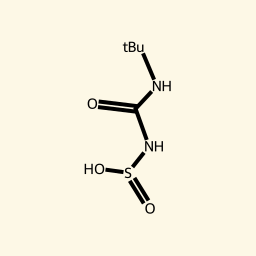 CC(C)(C)NC(=O)NS(=O)O